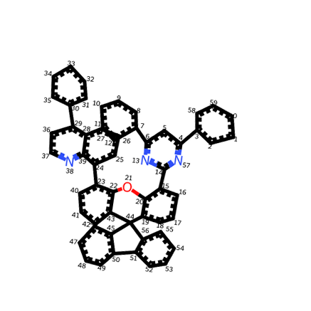 c1ccc(-c2cc(-c3ccccc3)nc(-c3cccc4c3Oc3c(-c5cccc6c(-c7ccccc7)ccnc56)cccc3C43c4ccccc4-c4ccccc43)n2)cc1